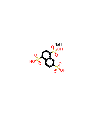 O=S(=O)(O)c1ccc2c(S(=O)(=O)O)ccc(S(=O)(=O)O)c2c1.[NaH]